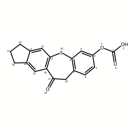 O=C(O)Oc1ccc2c(c1)Sc1cc3c(cc1C(=O)C2)CCC3